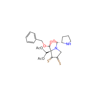 CC(=O)OC(OC(C)=O)[C@]1(C(=O)OCc2ccccc2)C(=S)C(=S)CN1C(=O)[C@@H]1CCCN1